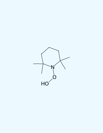 CC1(C)CCCC(C)(C)N1OO